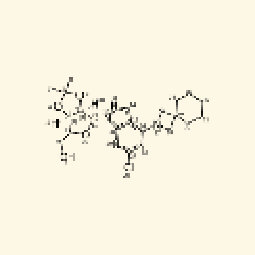 CC1(C)O[C@@H]2[C@H](O1)C(CO)O[C@H]2n1ncc2c(N3CC4(CCCCC4)C3)nc(Cl)nc21